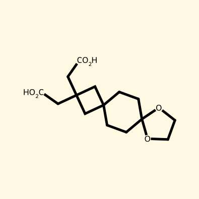 O=C(O)CC1(CC(=O)O)CC2(CCC3(CC2)OCCO3)C1